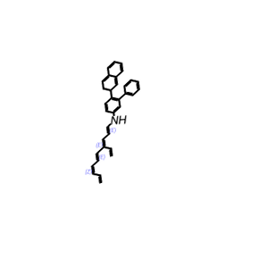 C=C\C=C/C=C/C(C=C)=C/C=C/Nc1ccc(C2C=c3ccccc3=CC2)c(-c2ccccc2)c1